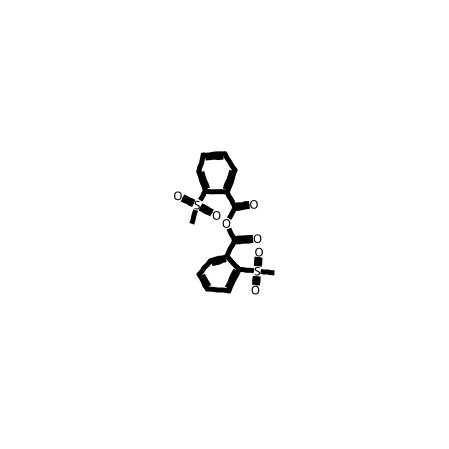 CS(=O)(=O)c1ccccc1C(=O)OC(=O)c1ccccc1S(C)(=O)=O